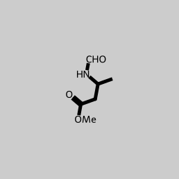 COC(=O)CC(C)NC=O